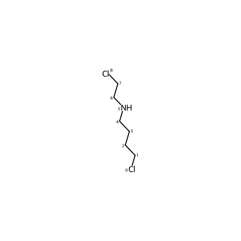 ClCCCCNCCCl